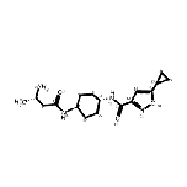 C[C@H](N)CC(=O)N[C@H]1CC[C@H](NC(=O)c2cc(C3CC3)on2)CC1